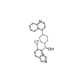 O[C@@H](c1c(C2CC2)ccc2cncn12)C1CCC(c2ccnc3ccccc23)CC1